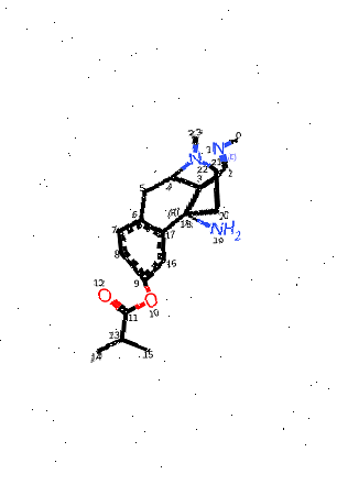 C/N=C/C1C2Cc3ccc(OC(=O)C(C)C)cc3[C@@]1(N)CCN2C